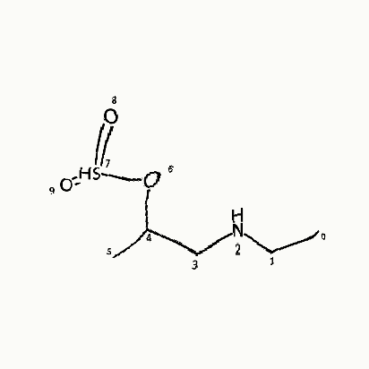 CCNCC(C)O[SH](=O)=O